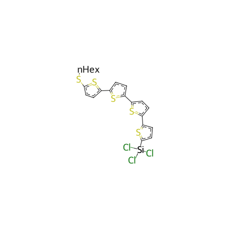 CCCCCCSc1ccc(-c2ccc(-c3ccc(-c4ccc([Si](Cl)(Cl)Cl)s4)s3)s2)s1